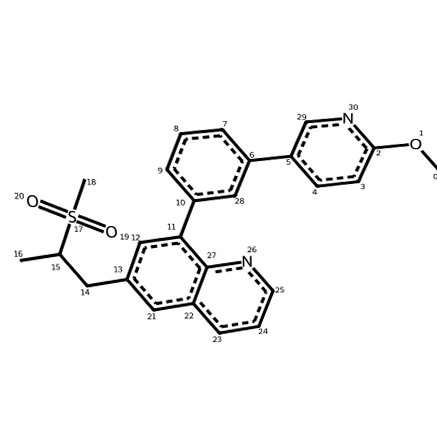 COc1ccc(-c2cccc(-c3cc(CC(C)S(C)(=O)=O)cc4cccnc34)c2)cn1